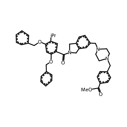 COC(=O)c1ccc(CN2CCN(Cc3ccc4c(c3)CN(C(=O)c3cc(C(C)C)c(OCc5ccccc5)cc3OCc3ccccc3)C4)CC2)cc1